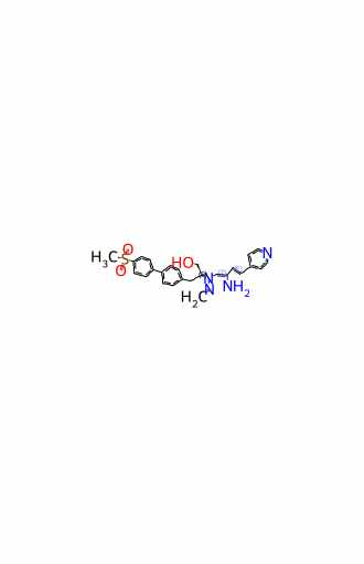 C=NN(/C=C(N)/C=C/c1ccncc1)[C@H](CO)Cc1ccc(-c2ccc(S(C)(=O)=O)cc2)cc1